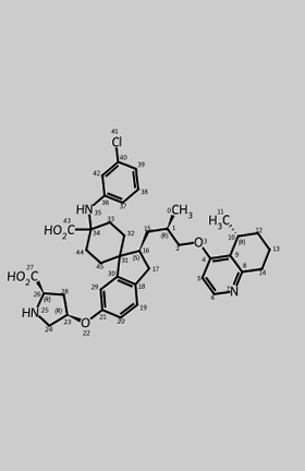 C[C@@H](COc1ccnc2c1[C@H](C)CCC2)C[C@H]1Cc2ccc(O[C@H]3CN[C@@H](C(=O)O)C3)cc2C12CCC(Nc1cccc(Cl)c1)(C(=O)O)CC2